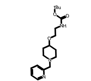 CC(C)(C)OC(=O)NCCOC1CCN(Cc2ccccn2)CC1